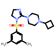 Cc1cc(C)cc(S(=O)(=O)N2CCN=C2N2CCN(C3CCC3)CC2)c1